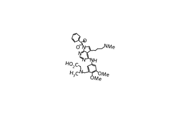 CNCCCc1cn(S(=O)(=O)c2ccccc2)c2ncnc(Nc3cc(CN(C)CC(=O)O)c(OC)c(OC)c3)c12